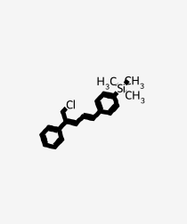 C[Si](C)(C)c1ccc(C=CC=C(CCl)c2ccccc2)cc1